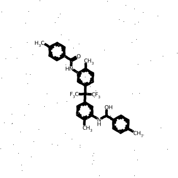 Cc1ccc(C(=O)Nc2cc(C(c3ccc(C)c(NC(O)c4ccc(C)cc4)c3)(C(F)(F)F)C(F)(F)F)ccc2C)cc1